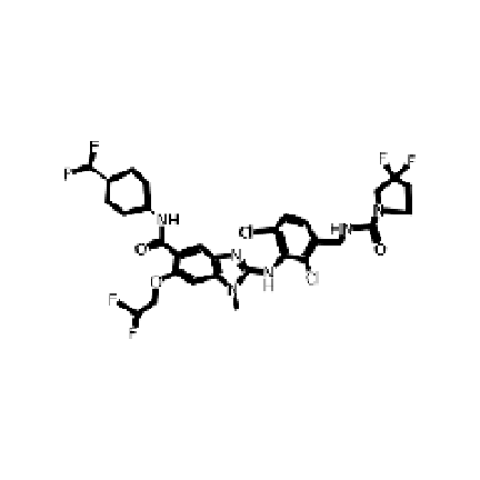 Cn1c(Nc2c(Cl)ccc(CNC(=O)N3CCC(F)(F)C3)c2Cl)nc2cc(C(=O)N[C@H]3CC[C@H](C(F)F)CC3)c(OCC(F)F)cc21